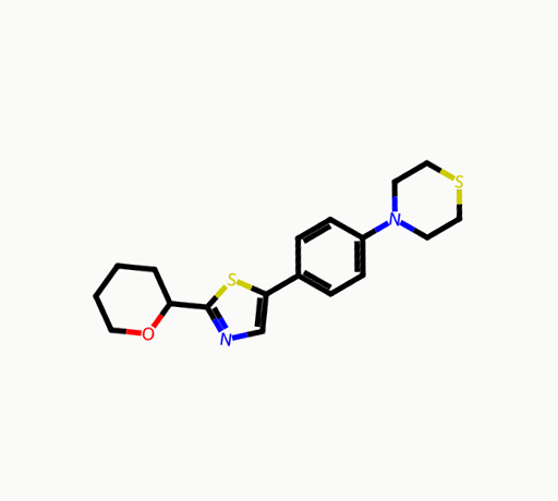 c1cc(N2CCSCC2)ccc1-c1cnc(C2CCCCO2)s1